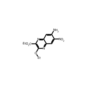 CCOC(=O)c1nc2cc(N)c([N+](=O)[O-])cc2nc1OCC